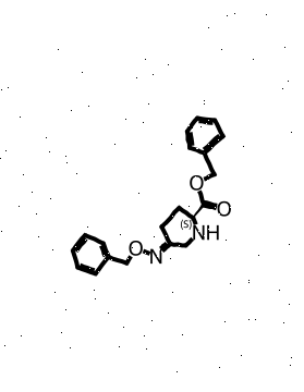 O=C(OCc1ccccc1)[C@@H]1CCC(=NOCc2ccccc2)CN1